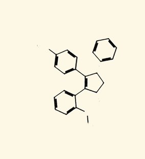 CCCCOc1ccccc1C1=C(c2ccc(OC)cc2)[C@H](c2ccccc2)C[C@@H]1O